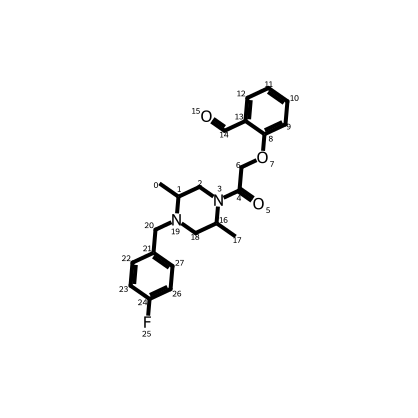 CC1CN(C(=O)COc2ccccc2C=O)C(C)CN1Cc1ccc(F)cc1